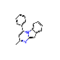 Cc1cc(-c2ccccc2)n2c(cc3ccccc32)n1